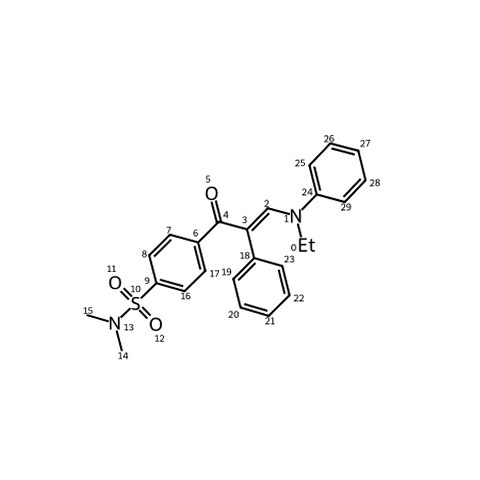 CCN(/C=C(/C(=O)c1ccc(S(=O)(=O)N(C)C)cc1)c1ccccc1)c1ccccc1